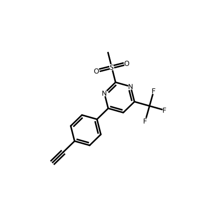 C#Cc1ccc(-c2cc(C(F)(F)F)nc(S(C)(=O)=O)n2)cc1